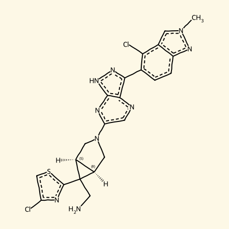 Cn1cc2c(Cl)c(-c3n[nH]c4nc(N5C[C@@H]6[C@H](C5)C6(CN)c5nc(Cl)cs5)cnc34)ccc2n1